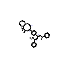 C=C1/C=C(c2ccc(C(/C=C(\N)c3ccccc3)=C/C(C)c3ccccc3)cc2)\C=C/CC2=C(C=CCC=C2)C1(C)C